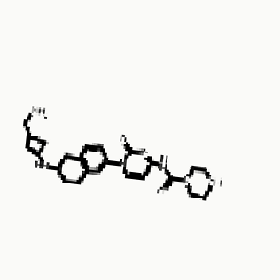 NCC1CC(NC2CCc3cc(-n4ccc(NC(=O)N5CCNCC5)nc4=O)ccc3C2)C1